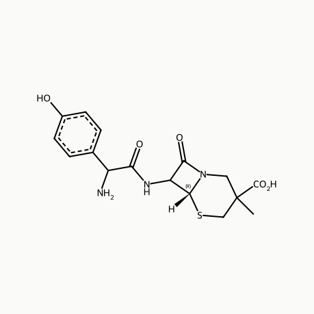 CC1(C(=O)O)CS[C@@H]2C(NC(=O)C(N)c3ccc(O)cc3)C(=O)N2C1